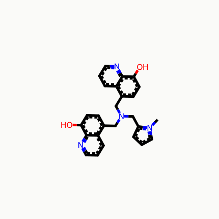 Cn1cccc1CN(Cc1ccc(O)c2ncccc12)Cc1ccc(O)c2ncccc12